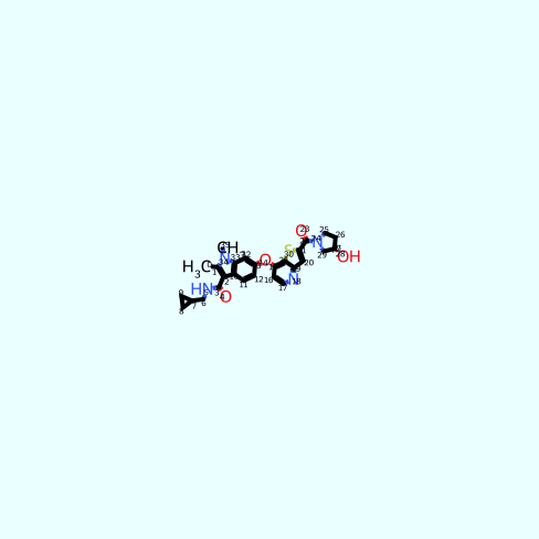 Cc1c(C(=O)NCC2CC2)c2ccc(Oc3ccnc4cc(C(=O)N5CC[C@@H](O)C5)sc34)cc2n1C